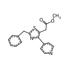 COC(=O)Cc1sc(Cc2ccccc2)nc1-c1ccncc1